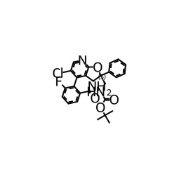 CC(C)(C)OC(=O)NC[C@@]1(c2ccccc2)Cc2c(ncc(Cl)c2-c2c(F)cccc2C(N)=O)O1